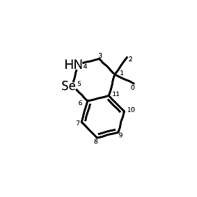 CC1(C)CN[Se]c2ccccc21